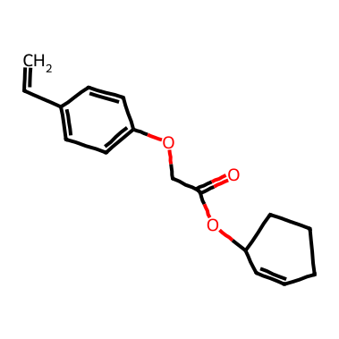 C=Cc1ccc(OCC(=O)OC2C=CCCC2)cc1